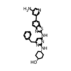 Nc1cncc(-c2ccc3nc(Nc4cc(Cc5ccccc5)nc(N[C@H]5CC[C@H](O)CC5)n4)sc3c2)c1